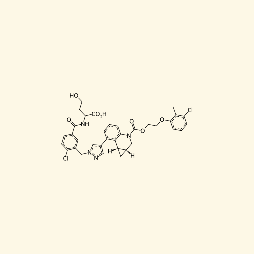 Cc1c(Cl)cccc1OCCOC(=O)N1C[C@@H]2C[C@@H]2c2c(-c3cnn(Cc4cc(C(=O)NC(CCO)C(=O)O)ccc4Cl)c3)cccc21